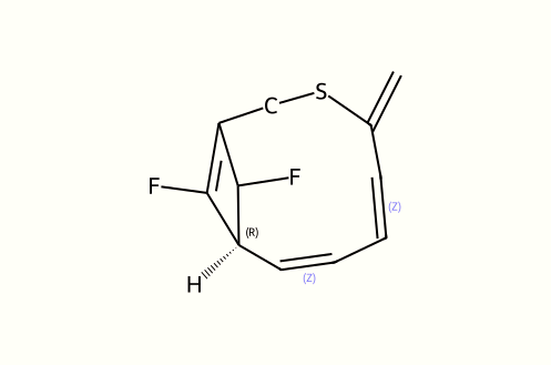 C=C1/C=C\C=C/[C@H]2C(F)=C(CS1)C2F